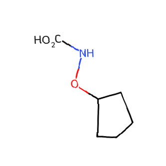 O=C(O)NOC1CCCC1